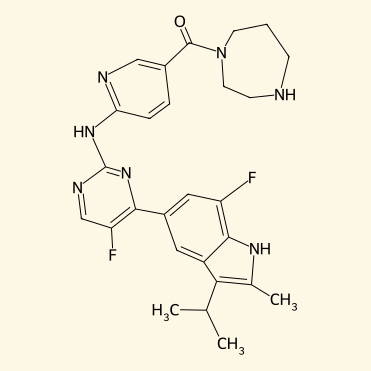 Cc1[nH]c2c(F)cc(-c3nc(Nc4ccc(C(=O)N5CCCNCC5)cn4)ncc3F)cc2c1C(C)C